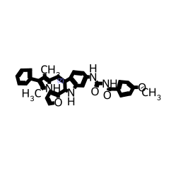 COc1ccc(C(=O)NC(=O)Nc2ccc3c(c2)NC(c2ccco2)/C3=C\c2[nH]c(C)c(-c3ccccc3)c2C)cc1